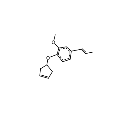 CC=Cc1ccc(OC2CC=CC2)c(OC)c1